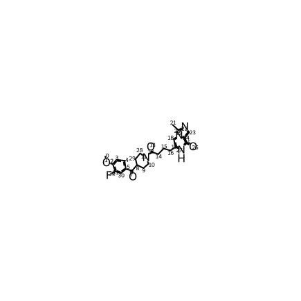 COc1ccc(C(=O)C2CCN(C(=O)CCCc3cn4c(C)ncc4c(=O)[nH]3)CC2)cc1F